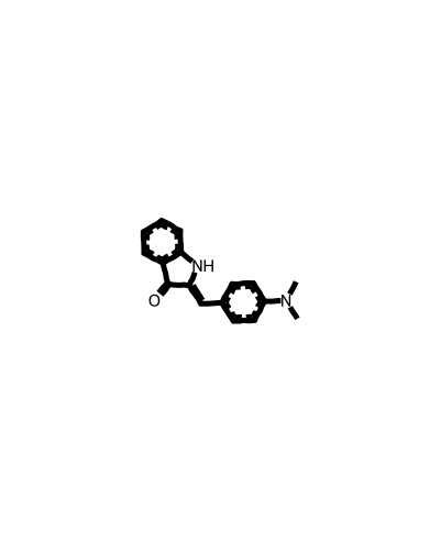 CN(C)c1ccc(/C=C2\Nc3ccccc3C2=O)cc1